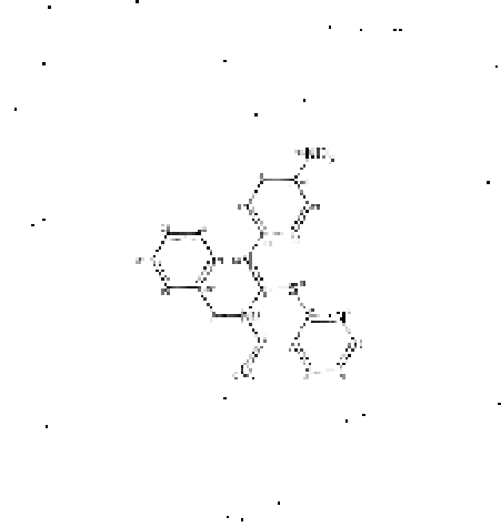 O=c1c2cccnc2sc(=Nc2ccc([N+](=O)[O-])cc2)n1Cc1ccccc1